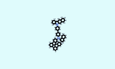 c1ccc2c(c1)-c1ccccc1C21c2ccccc2-c2ccc(N(c3ccc(-c4ccc(-n5c6ccccc6c6cc7ccccc7cc65)cc4)cc3)c3cccc4ccccc34)cc21